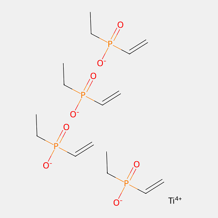 C=CP(=O)([O-])CC.C=CP(=O)([O-])CC.C=CP(=O)([O-])CC.C=CP(=O)([O-])CC.[Ti+4]